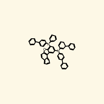 C1=CC(N(c2ccc(-c3ccccc3)cc2)c2cc(N(c3ccccc3)c3ccc(-c4ccccc4)cc3)c3oc4ccc5ccccc5c4c3c2)=CC(c2ccccc2)C1